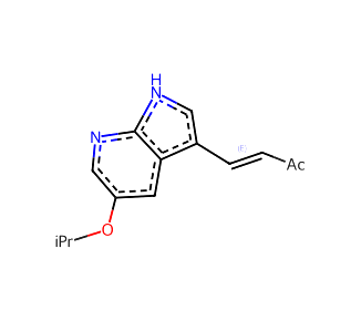 CC(=O)/C=C/c1c[nH]c2ncc(OC(C)C)cc12